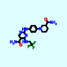 NC(=O)c1cnc(Nc2ccc(N3CCCC(C(N)=O)C3)cc2)nc1NCC(F)(F)F